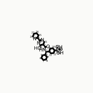 O=C(NC(c1ccccc1)c1ccc(P(=O)(O)O)cc1)c1cnc(-c2ccccn2)nc1O